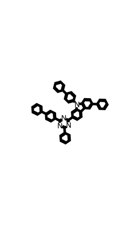 c1ccc(-c2ccc(-c3nc(-c4ccccc4)nc(-c4ccc5c6cc(-c7ccccc7)ccc6n(-c6ccc(-c7ccccc7)cc6)c5c4)n3)cc2)cc1